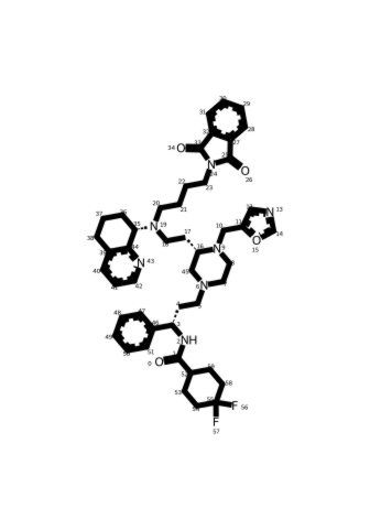 O=C(N[C@@H](CCN1CCN(Cc2cnco2)[C@@H](CCN(CCCCN2C(=O)c3ccccc3C2=O)[C@H]2CCCc3cccnc32)C1)c1ccccc1)C1CCC(F)(F)CC1